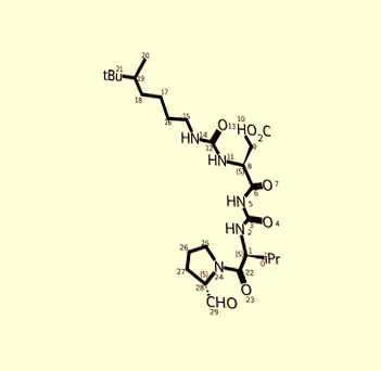 CC(C)[C@H](NC(=O)NC(=O)[C@H](CC(=O)O)NC(=O)NCCCCC(C)C(C)(C)C)C(=O)N1CCC[C@H]1C=O